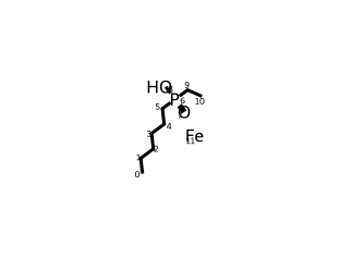 CCCCCCP(=O)(O)CC.[Fe]